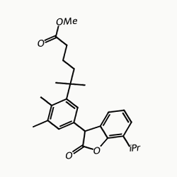 COC(=O)CCCC(C)(C)c1cc(C2C(=O)Oc3c(C(C)C)cccc32)cc(C)c1C